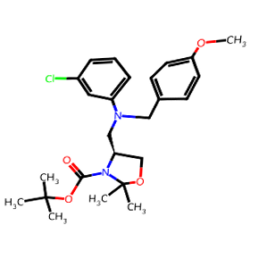 COc1ccc(CN(C[C@H]2COC(C)(C)N2C(=O)OC(C)(C)C)c2cccc(Cl)c2)cc1